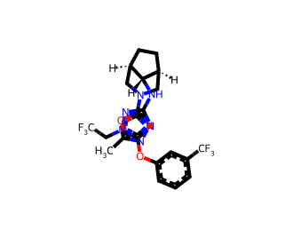 Cc1nnc(N2C[C@H]3CC[C@@H](C2)[C@@H]3Nc2nc(Oc3cccc(C(F)(F)F)c3)n(CC(F)(F)F)n2)o1